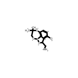 CC1(C)COB2OC(CN)c3c(Cl)ccc(c32)O1